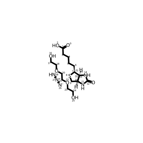 O=C(O)CCCC[C@@H]1SC[C@@H]2NC(=O)N[C@@H]21.OCCOCCOCCO.[N-]=[N+]=N